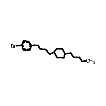 CCCCCC1CCC(CCCCc2ccc(Br)cc2)CC1